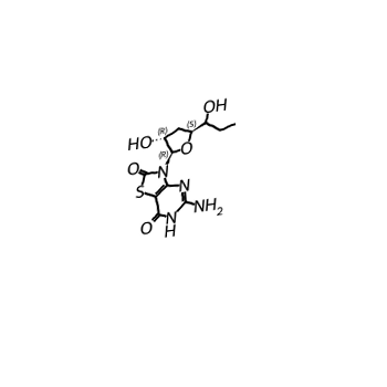 CCC(O)[C@@H]1C[C@@H](O)[C@H](n2c(=O)sc3c(=O)[nH]c(N)nc32)O1